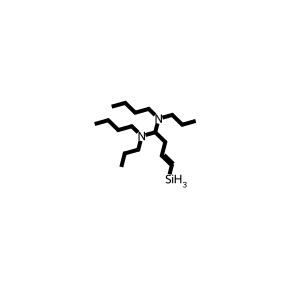 CCCCN(CCC)C(CC=C[SiH3])N(CCC)CCCC